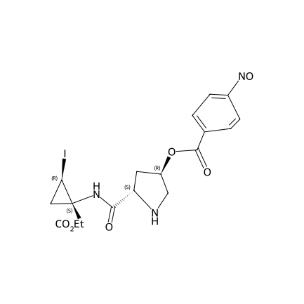 CCOC(=O)[C@@]1(NC(=O)[C@@H]2C[C@@H](OC(=O)c3ccc(N=O)cc3)CN2)C[C@H]1I